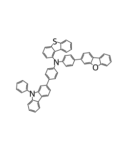 c1ccc(-n2c3ccccc3c3ccc(-c4ccc(N(c5ccc(-c6ccc7c(c6)oc6ccccc67)cc5)c5cccc6sc7ccccc7c56)cc4)cc32)cc1